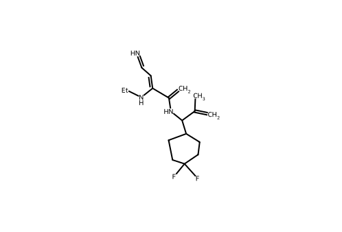 C=C(NC(C(=C)C)C1CCC(F)(F)CC1)/C(=C/C=N)NCC